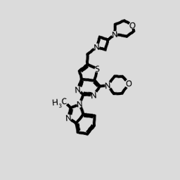 Cc1nc2ccccc2n1-c1nc(N2CCOCC2)c2sc(CN3CC(N4CCOCC4)C3)cc2n1